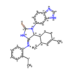 CCc1ccccc1N=C1NC(=S)N(c2ccc3nc[nH]c3c2)C1C1CCC(C)=CC1C